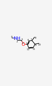 CNCCOC1=CC(C)C(C)C=C1